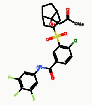 COC(=O)CC1(O)C2CCC1CC(S(=O)(=O)c1cc(C(=O)Nc3cc(F)c(F)c(F)c3)ccc1Cl)C2